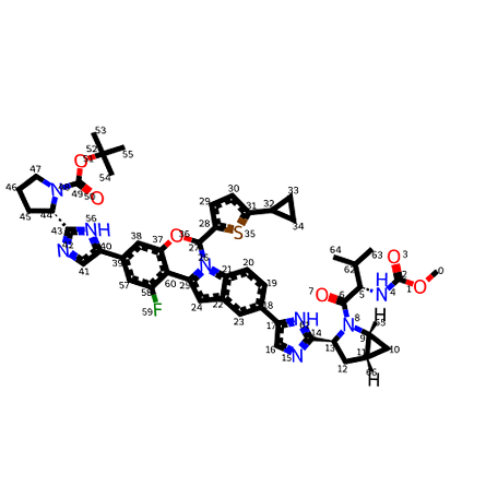 COC(=O)N[C@H](C(=O)N1[C@@H]2C[C@@H]2C[C@H]1c1ncc(-c2ccc3c(c2)cc2n3C(c3ccc(C4CC4)s3)Oc3cc(-c4cnc([C@@H]5CCCN5C(=O)OC(C)(C)C)[nH]4)cc(F)c3-2)[nH]1)C(C)C